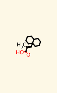 CC(=CC12CCCCC1CCCC2)C(=O)O